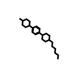 CCCCCCC1CCC(c2ccc(C3CCC(C)CC3)cc2)CC1